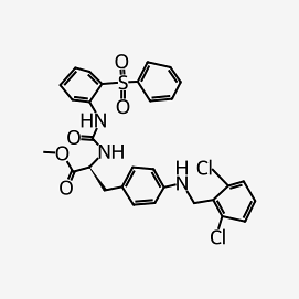 COC(=O)[C@H](Cc1ccc(NCc2c(Cl)cccc2Cl)cc1)NC(=O)Nc1ccccc1S(=O)(=O)c1ccccc1